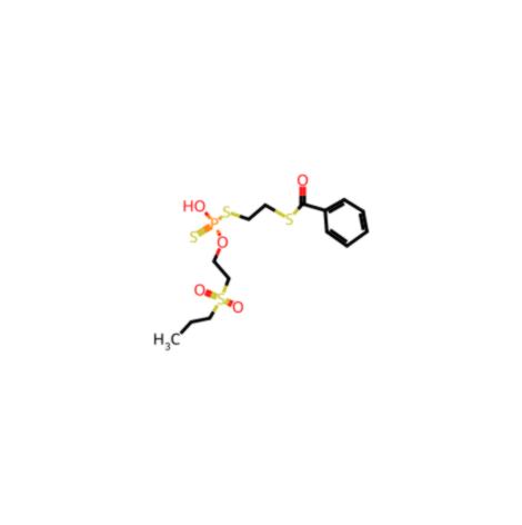 CCCS(=O)(=O)CCOP(O)(=S)SCCSC(=O)c1ccccc1